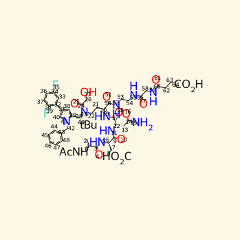 CC(=O)N[C@@H](C)C(=O)N[C@H](CC(=O)O)C(=O)N[C@@H](CC(N)=O)C(=O)N[C@@H](CCN(C(=O)CO)[C@@H](c1cc(-c2cc(F)ccc2F)cn1Cc1ccccc1)C(C)(C)C)C(=O)NCCNC(=O)CNC(=O)CCC(=O)O